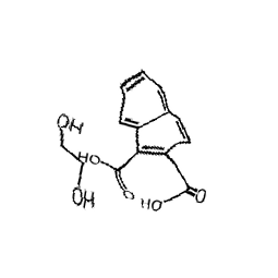 O=C(O)c1ccc2ccccc2c1C(=O)O.OCCO